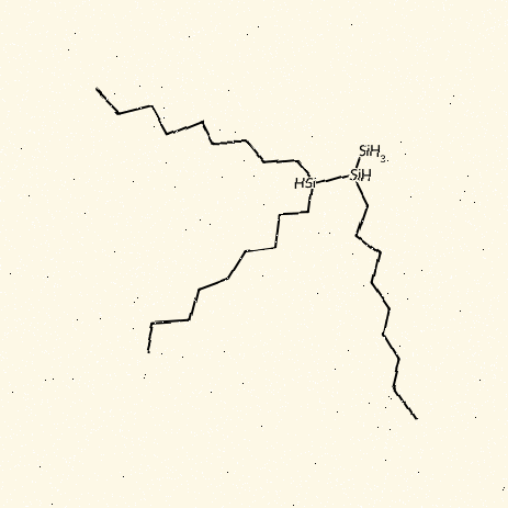 CCCCCCCCC[SiH]([SiH3])[SiH](CCCCCCCCC)CCCCCCCCC